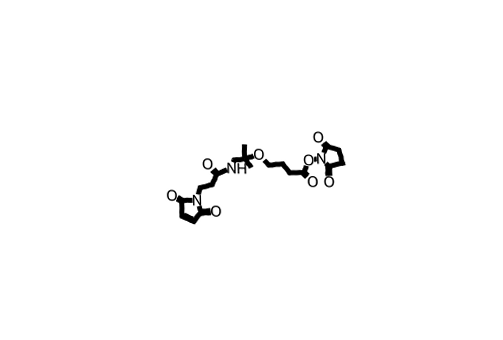 CC(C)(CNC(=O)CCN1C(=O)C=CC1=O)OCCCC(=O)ON1C(=O)CCC1=O